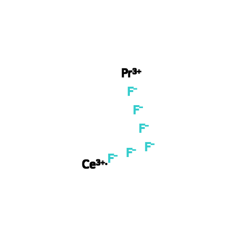 [Ce+3].[F-].[F-].[F-].[F-].[F-].[F-].[Pr+3]